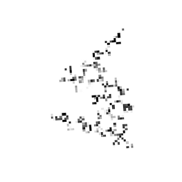 COCCOc1cc(C(CBr)C(=O)C(CBr)c2cc(OCCOC)cc(C(C)(C)C)c2)cc(C(C)(C)C)c1